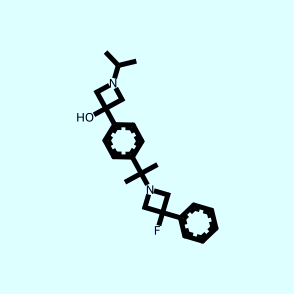 CC(C)N1CC(O)(c2ccc(C(C)(C)N3CC(F)(c4ccccc4)C3)cc2)C1